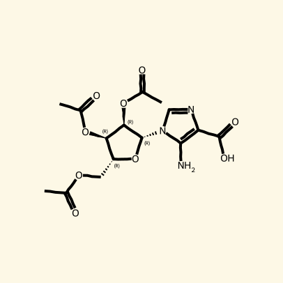 CC(=O)OC[C@H]1O[C@@H](n2cnc(C(=O)O)c2N)[C@H](OC(C)=O)[C@@H]1OC(C)=O